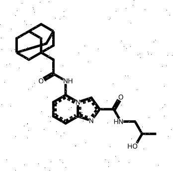 CC(O)CNC(=O)c1cn2c(NC(=O)CC34CC5CC(CC(C5)C3)C4)cccc2n1